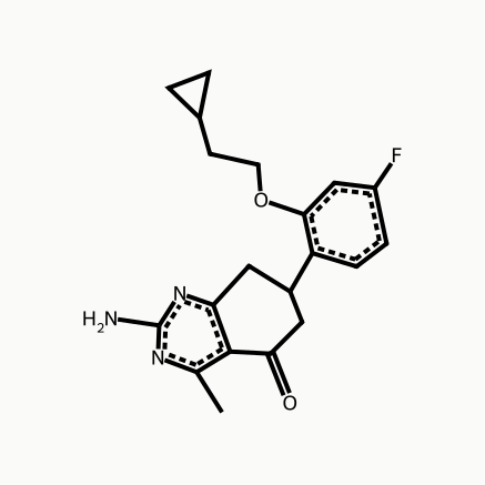 Cc1nc(N)nc2c1C(=O)CC(c1ccc(F)cc1OCCC1CC1)C2